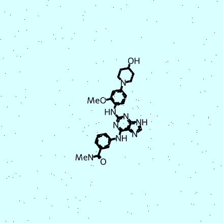 CNC(=O)c1cccc(Nc2nc(Nc3ccc(N4CCC(O)CC4)cc3OC)nc3[nH]cnc23)c1